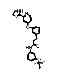 O=C(CCc1cccc(Oc2ccnc(C3=NCCN3)c2)c1)Nc1cccc(OC(F)(F)F)c1